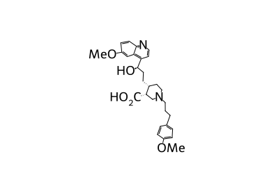 COc1ccc(CCCN2CC[C@@H](CC[C@@H](O)c3ccnc4ccc(OC)cc34)[C@@H](C(=O)O)C2)cc1